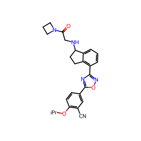 CC(C)Oc1ccc(-c2nc(-c3cccc4c3CCC4NCC(=O)N3CCC3)no2)cc1C#N